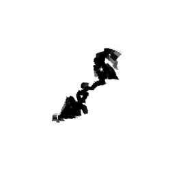 Cn1cc(C(=O)C2CCN(C(=O)CCCc3nc4cnn(C)c4c(=O)[nH]3)CC2)cn1